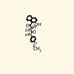 CCOc1ccc(NC(=O)NNC(=O)c2c(O)ccc3ccccc23)cc1